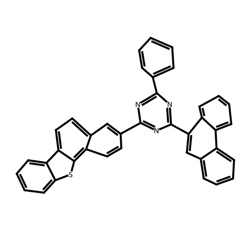 c1ccc(-c2nc(-c3ccc4c(ccc5c6ccccc6sc45)c3)nc(-c3cc4ccccc4c4ccccc34)n2)cc1